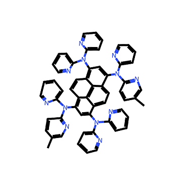 Cc1ccc(N(c2ccccn2)c2cc(N(c3ccccn3)c3ccccn3)c3ccc4c(N(c5ccccn5)c5ccc(C)cn5)cc(N(c5ccccn5)c5ccccn5)c5ccc2c3c54)nc1